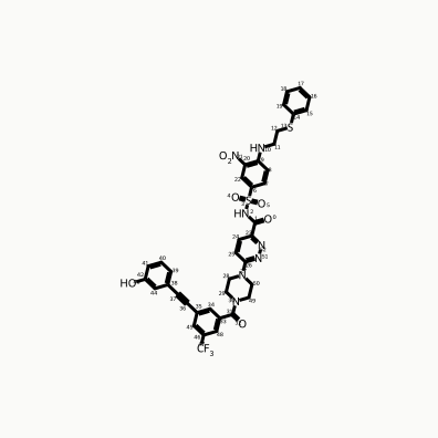 O=C(NS(=O)(=O)c1ccc(NCCSc2ccccc2)c([N+](=O)[O-])c1)c1ccc(N2CCN(C(=O)c3cc(C#Cc4cccc(O)c4)cc(C(F)(F)F)c3)CC2)nn1